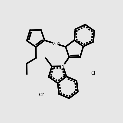 CCCC1=[C]([Zr+2][CH]2C(n3c(C)cc4ccccc43)=Cc3ccccc32)CC=C1.[Cl-].[Cl-]